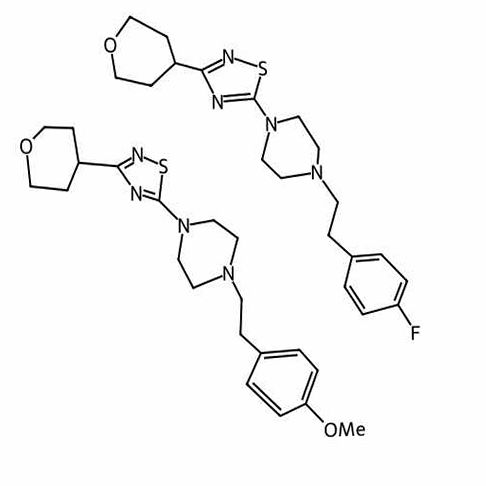 COc1ccc(CCN2CCN(c3nc(C4CCOCC4)ns3)CC2)cc1.Fc1ccc(CCN2CCN(c3nc(C4CCOCC4)ns3)CC2)cc1